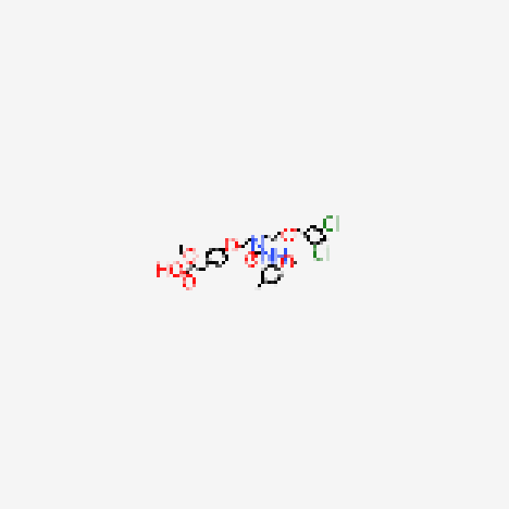 CCOC(Cc1ccc(OCCN(CCCOCc2cc(Cl)cc(Cl)c2)C(=O)Nc2cc(C)ccc2OC)cc1)C(=O)O